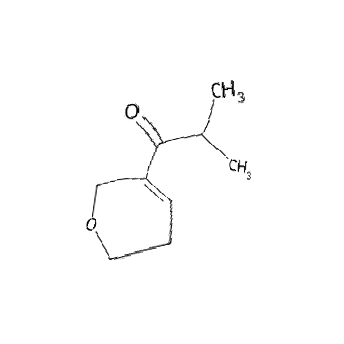 CC(C)C(=O)C1=CCCOC1